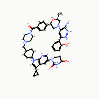 C[C@H]1CN(c2cc(-c3ccccc3O)nnc2N)C[C@@H](c2ccc(C(=O)N3CCN(CC4CCC(n5cc(C6CC6)c6cc(N7CCC(=O)NC7=O)cnc65)CC4)CC3)cc2)O1